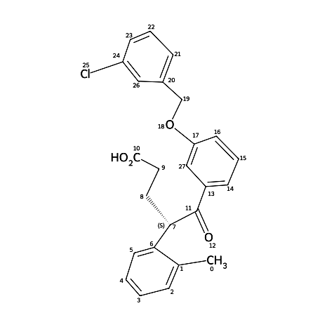 Cc1ccccc1[C@H](CCC(=O)O)C(=O)c1cccc(OCc2cccc(Cl)c2)c1